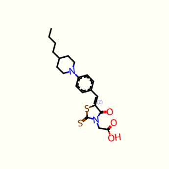 CCCCC1CCN(c2ccc(/C=C3\SC(=S)N(CC(=O)O)C3=O)cc2)CC1